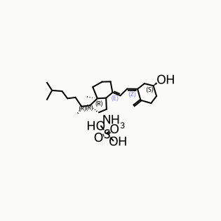 C=C1CC[C@H](O)C/C1=C/C=C1\CCC[C@@]2(C)C1CC[C@@H]2[C@H](C)CCCC(C)C.N.O=S(=O)(O)O